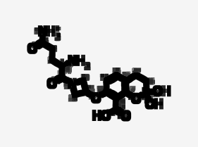 N[C@H](CCC([NH3+])=O)C(=O)N1CC(Oc2ccc3c(c2C(=O)O)O[B-](O)(O)CC3)C1